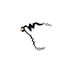 CCCCCCCCCCCCCCCCc1cscc1CCCCCCCCCCCCCCCC